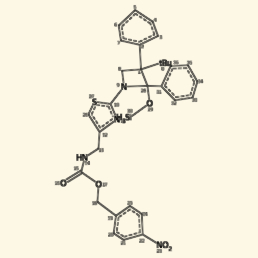 CC(C)(C)C1(c2ccccc2)CN(c2nc(CNC(=O)OCc3ccc([N+](=O)[O-])cc3)cs2)C1(O[SiH3])c1ccccc1